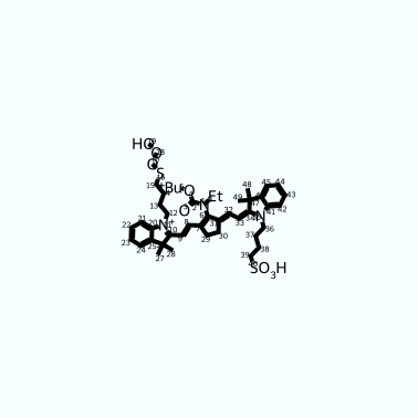 CCN(C(=O)OC(C)(C)C)C1=C(/C=C/C2=[N+](CCCCSOOO)c3ccccc3C2(C)C)CC/C1=C\C=C1\N(CCCCS(=O)(=O)O)c2ccccc2C1(C)C